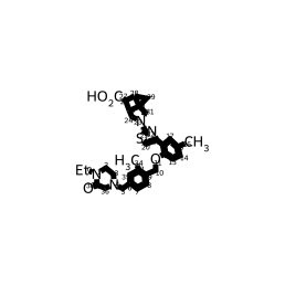 CCN1CCN(Cc2ccc(COc3ccc(C)cc3-c3csc(N4CC5C(C(=O)O)C6CC56C4)n3)c(C)c2)CC1=O